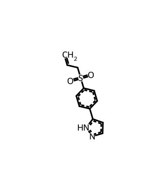 C=CCS(=O)(=O)c1ccc(-c2ccn[nH]2)cc1